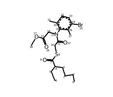 CCCCC(CC)C(=O)SCC(=O)N(CC(=O)OC)c1c(C)ccc(Br)c1C